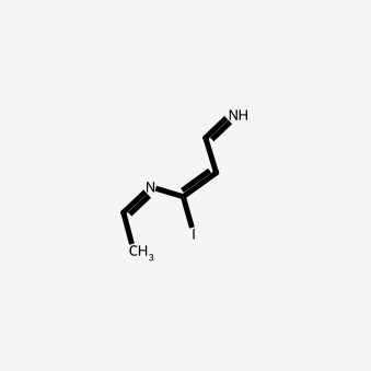 C/C=N\C(I)=C/C=N